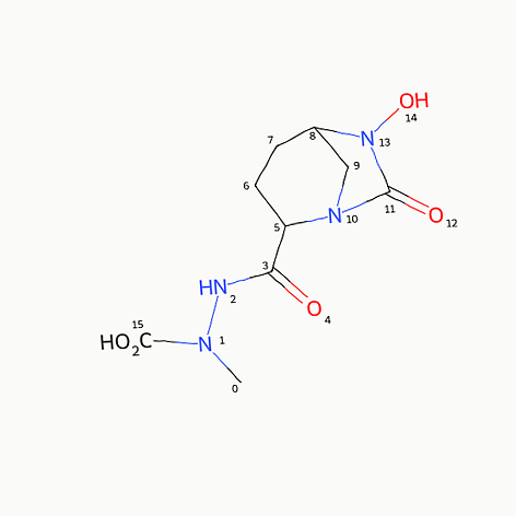 CN(NC(=O)C1CCC2CN1C(=O)N2O)C(=O)O